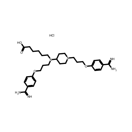 Cl.N=C(N)c1ccc(OCCCN2CCC(N(CCCCCC(=O)O)CCCOc3ccc(C(=N)N)cc3)CC2)cc1